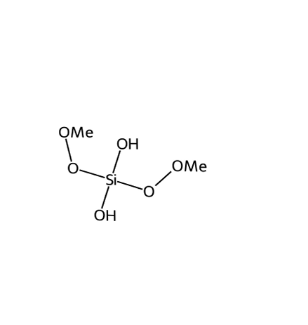 COO[Si](O)(O)OOC